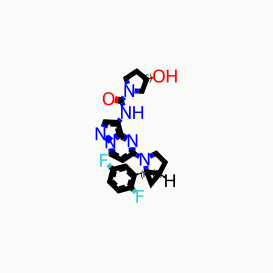 O=C(Nc1cnn2ccc(N3CC[C@H]4C[C@]43c3cc(F)ccc3F)nc12)N1CC[C@H](O)C1